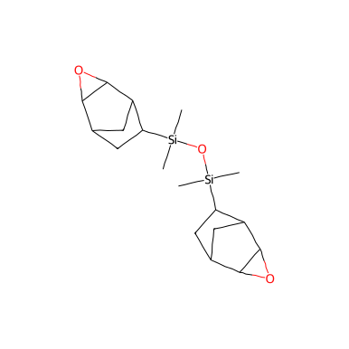 C[Si](C)(O[Si](C)(C)C1CC2CC1C1OC21)C1CC2CC1C1OC21